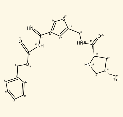 N=C(NC(=O)OCc1ccccc1)c1csc(CNC(=O)[C@@H]2C[C@H](C(F)(F)F)CN2)c1